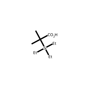 CC[Si](CC)(CC)C(C)(C)C(=O)O